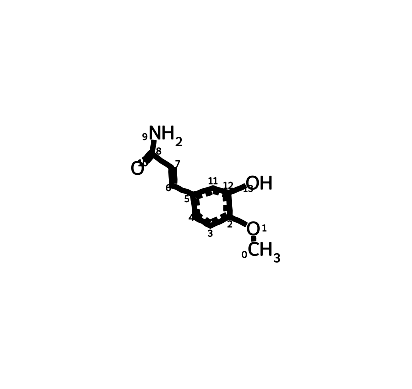 COc1ccc(C=CC(N)=O)cc1O